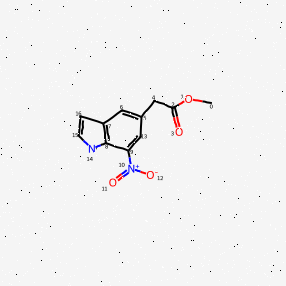 COC(=O)Cc1cc2c(c([N+](=O)[O-])c1)[N]C=C2